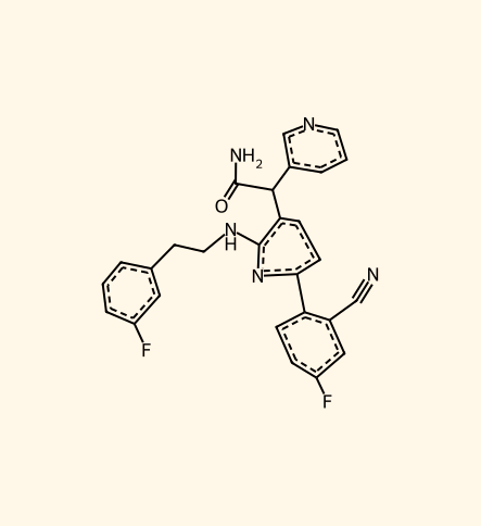 N#Cc1cc(F)ccc1-c1ccc(C(C(N)=O)c2cccnc2)c(NCCc2cccc(F)c2)n1